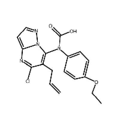 C=CCc1c(Cl)nc2ccnn2c1N(C(=O)O)c1ccc(OCC)cc1